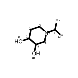 OC1CCN(C(F)F)CC1O